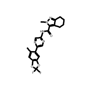 Cc1cc2c(cc1-c1cnc(NC(=O)c3c4c(nn3C)CCCC4)cn1)OC(F)(F)O2